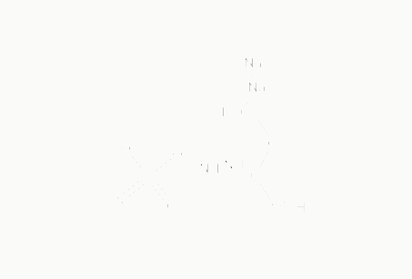 N.N.O=S(=O)(O)OOS(=O)(=O)O.O=S([O-])([O-])=S.[Na+].[Na+]